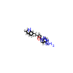 Cc1cnc2cc(CCC3CCC(n4ccc5c(N)ncnc54)O3)ccc2c1